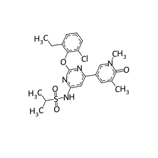 CCc1cccc(Cl)c1Oc1nc(NS(=O)(=O)C(C)C)cc(-c2cc(C)c(=O)n(C)c2)n1